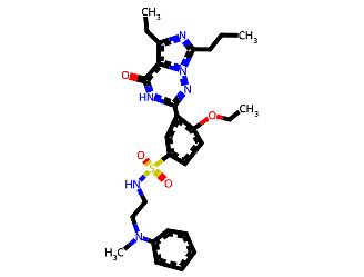 CCCc1nc(CC)c2c(=O)[nH]c(-c3cc(S(=O)(=O)NCCN(C)c4ccccc4)ccc3OCC)nn12